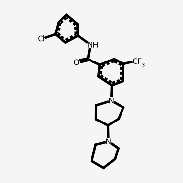 O=C(Nc1cccc(Cl)c1)c1cc(N2CCC(N3CCCCC3)CC2)cc(C(F)(F)F)c1